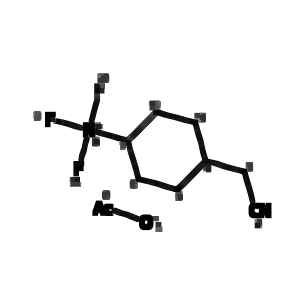 CC(=O)[O-].N#CCC1CCC([N+](F)(F)F)CC1